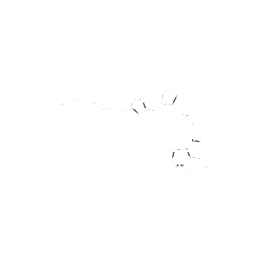 CCCCCCCCCCCCCCCCc1cc(ON2OCC=C2OC(C)COC(=O)c2ccc[n+](CC)c2CN)no1